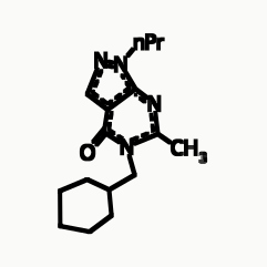 CCCn1ncc2c(=O)n(CC3CCCCC3)c(C)nc21